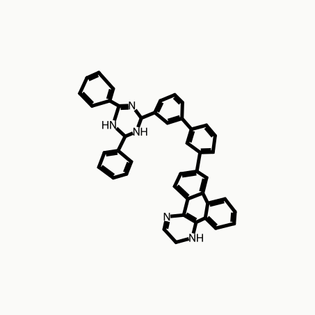 C1=Nc2c(c3ccccc3c3cc(-c4cccc(-c5cccc(C6N=C(c7ccccc7)NC(c7ccccc7)N6)c5)c4)ccc23)NC1